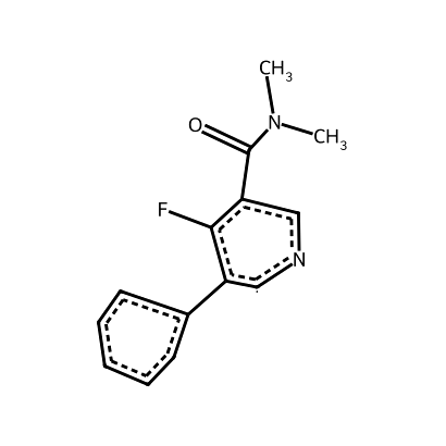 CN(C)C(=O)c1cn[c]c(-c2ccccc2)c1F